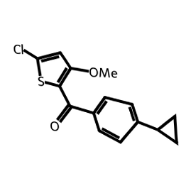 COc1cc(Cl)sc1C(=O)c1ccc(C2CC2)cc1